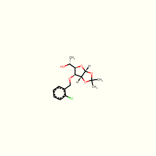 C[C@@H](O)[C@H]1O[C@@H]2OC(C)(C)O[C@@H]2[C@H]1OCc1ccccc1Cl